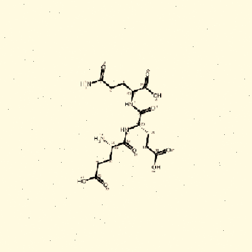 NC(=O)CC[C@H](NC(=O)[C@H](CCC(=O)O)NC(=O)[C@@H](N)CCC(=O)O)C(=O)O